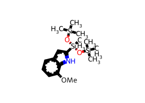 COc1cccc2cc([Si](C)(O[Si](C)(C)C)O[Si](C)(C)C)[nH]c12